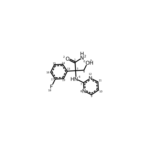 NC(=O)C(CO)(Nc1ncccn1)c1cccc(F)c1